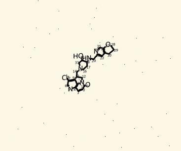 O=c1ccc2ncc(Cl)c3c2n1CC3CN1CC[C@H](NCc2cc3c(cn2)OCCC3)[C@H](O)C1